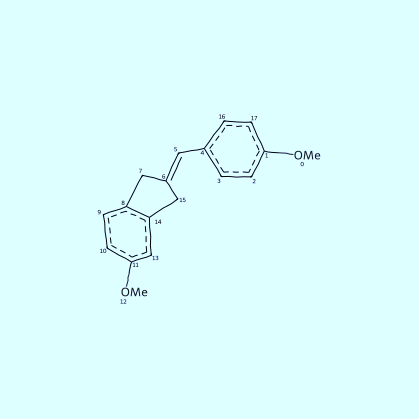 COc1ccc(C=C2Cc3ccc(OC)cc3C2)cc1